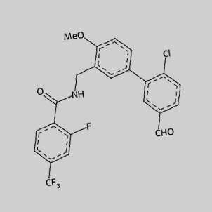 COc1ccc(-c2cc(C=O)ccc2Cl)cc1CNC(=O)c1ccc(C(F)(F)F)cc1F